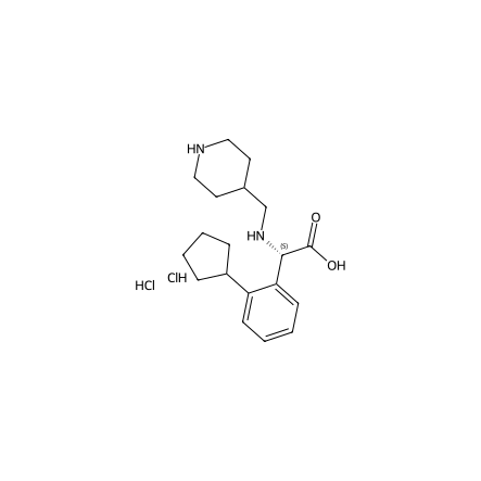 Cl.Cl.O=C(O)[C@@H](NCC1CCNCC1)c1ccccc1C1CCCC1